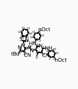 CCCCCCCCc1ccc(Nc2nc(Nc3ccc(CCCCCCCC)cc3)c(N=Nc3c(C#N)c(C(C)(C)C)nn3-c3nc4ccccc4s3)c(C)c2C#N)cc1